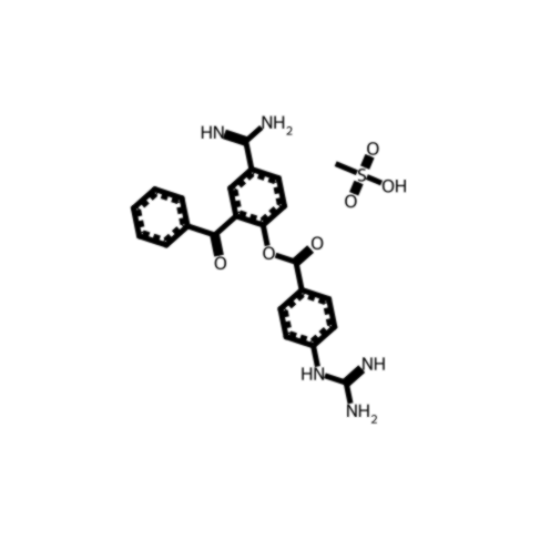 CS(=O)(=O)O.N=C(N)Nc1ccc(C(=O)Oc2ccc(C(=N)N)cc2C(=O)c2ccccc2)cc1